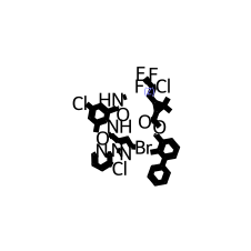 CNC(=O)c1cc(Cl)cc(C)c1NC(=O)c1cc(Br)nn1-c1ncccc1Cl.Cc1c(COC(=O)C2C(/C=C(\Cl)C(F)(F)F)C2(C)C)cccc1-c1ccccc1